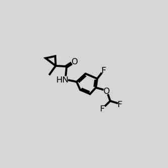 CC1(C(=O)Nc2ccc(OC(F)F)c(F)c2)CC1